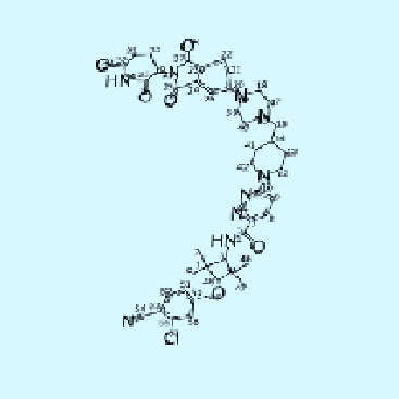 CC1(C)C(NC(=O)c2ccc(N3CCC(CN4CCN(c5ccc6c(c5)C(=O)N(C5CCC(=O)NC5=O)C6=O)CC4)CC3)nn2)C(C)(C)C1Oc1ccc(C#N)c(Cl)c1